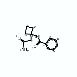 NC(=O)CC1(NC(=O)c2ccccc2)CCC1